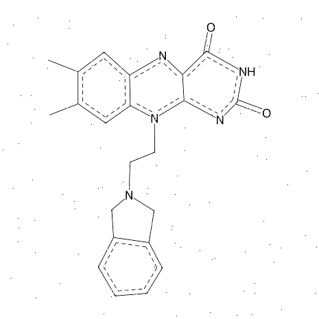 Cc1cc2nc3c(=O)[nH]c(=O)nc-3n(CCN3Cc4ccccc4C3)c2cc1C